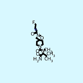 CC(C)C(C(N)=O)N(C)C(=O)N1CCC2(CC1)CN(C(=O)/C=C/CF)CO2